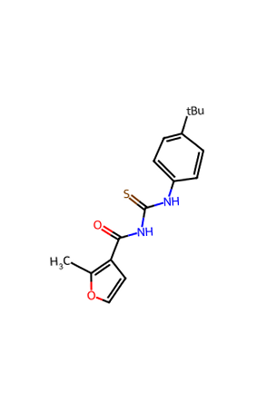 Cc1occc1C(=O)NC(=S)Nc1ccc(C(C)(C)C)cc1